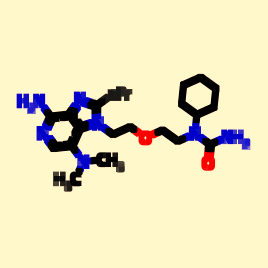 CCCc1nc2c(N)ncc(N(C)C)c2n1CCOCCN(C(N)=O)C1CCCCC1